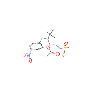 CC(=O)OC(CCS(C)(=O)=O)C(Cc1ccc([N+](=O)[O-])cc1)C(C)(C)C